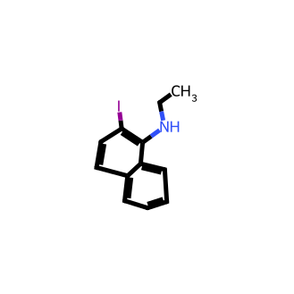 CCNc1c(I)ccc2ccccc12